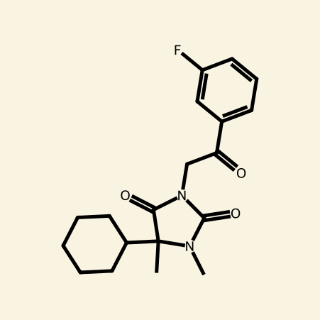 CN1C(=O)N(CC(=O)c2cccc(F)c2)C(=O)C1(C)C1CCCCC1